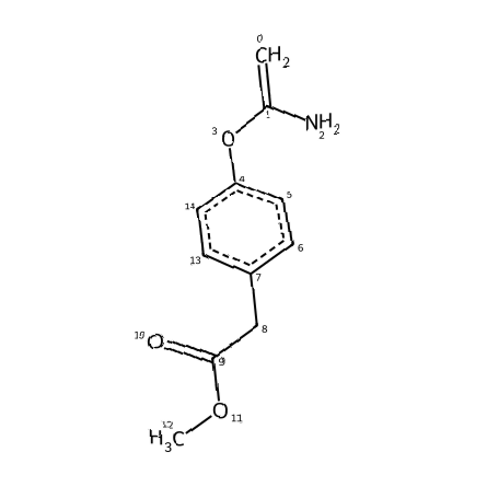 C=C(N)Oc1ccc(CC(=O)OC)cc1